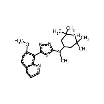 COc1ccc2cccnc2c1-c1nnc(N(C)C2CC(C)(C)NC(C)(C)C2)s1